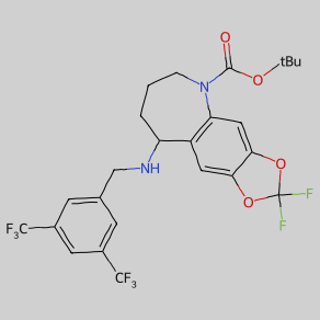 CC(C)(C)OC(=O)N1CCCC(NCc2cc(C(F)(F)F)cc(C(F)(F)F)c2)c2cc3c(cc21)OC(F)(F)O3